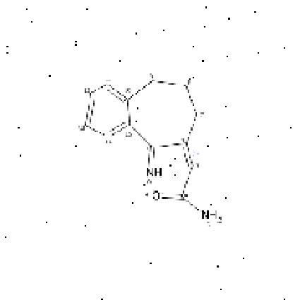 N=C1/C(=C\C(N)=O)CCCc2ccccc21